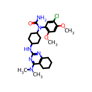 COc1cc(OC)c(N(C(N)=O)C2CCC(Nc3nc4c(c(N(C)C)n3)CCCC4)CC2)cc1Cl